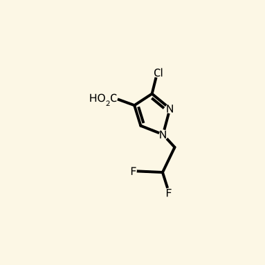 O=C(O)c1cn(CC(F)F)nc1Cl